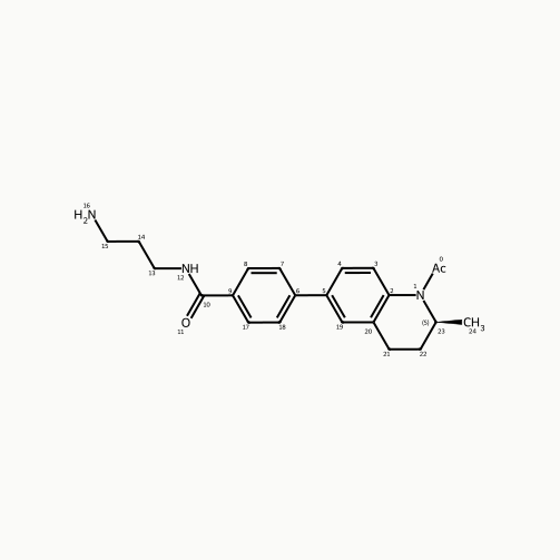 CC(=O)N1c2ccc(-c3ccc(C(=O)NCCCN)cc3)cc2CC[C@@H]1C